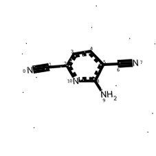 N#Cc1ccc(C#N)c(N)n1